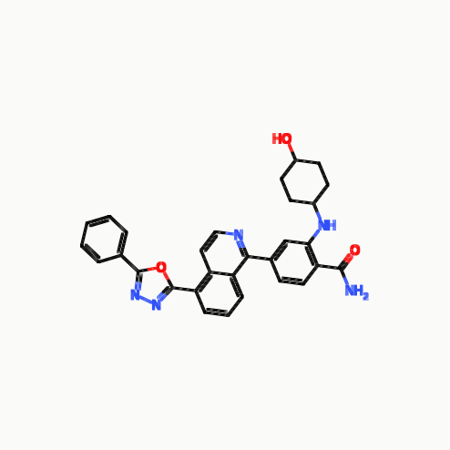 NC(=O)c1ccc(-c2nccc3c(-c4nnc(-c5ccccc5)o4)cccc23)cc1NC1CCC(O)CC1